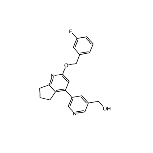 OCc1cncc(-c2cc(OCc3cccc(F)c3)nc3c2CCC3)c1